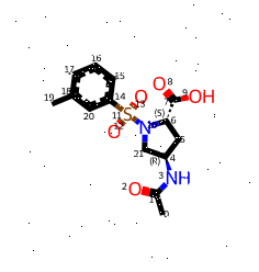 CC(=O)N[C@@H]1C[C@@H](C(=O)O)N(S(=O)(=O)c2cc[c]c(C)c2)C1